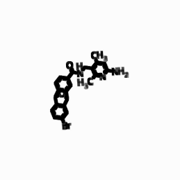 Cc1cc(N)nc(C)c1CNC(=O)c1ccc2c(c1)C1OC2c2ccc(Br)cc21